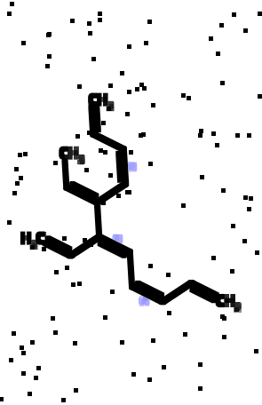 C=C/C=C\C=C(/C=C)C(=CC)/C=C\C=C